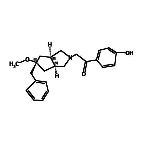 CO[C@]1(Cc2ccccc2)C[C@H]2CN(CC(=O)c3ccc(O)cc3)C[C@H]2C1